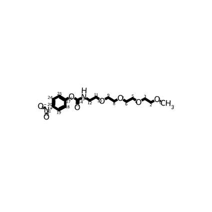 COCCOCCOCCOCCNC(=O)Oc1ccc([N+](=O)[O-])cc1